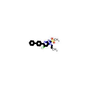 C=CCn1c(S(C)(=O)=O)nc2nc(-c3ccc(-c4ccccc4)cc3)c(Cl)cc21